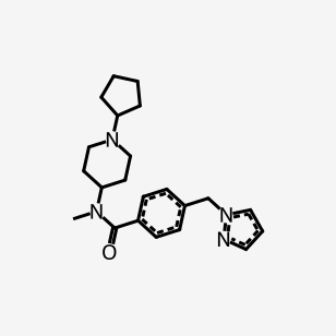 CN(C(=O)c1ccc(Cn2cccn2)cc1)C1CCN(C2CCCC2)CC1